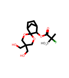 CC(F)(C(=O)OC1C2CCC(C2)C12OCC(CO)(CO)CO2)S(=O)(=O)O